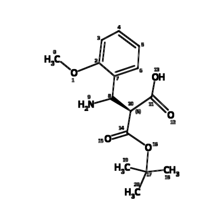 COc1ccccc1C(N)[C@@H](C(=O)O)C(=O)OC(C)(C)C